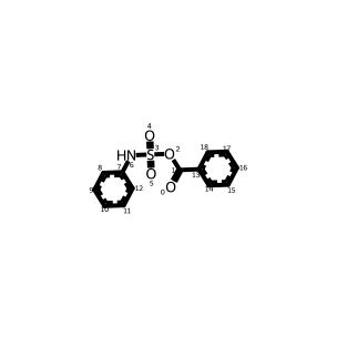 O=C(OS(=O)(=O)Nc1ccccc1)c1ccccc1